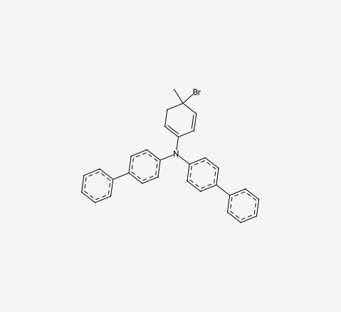 CC1(Br)C=CC(N(c2ccc(-c3ccccc3)cc2)c2ccc(-c3ccccc3)cc2)=CC1